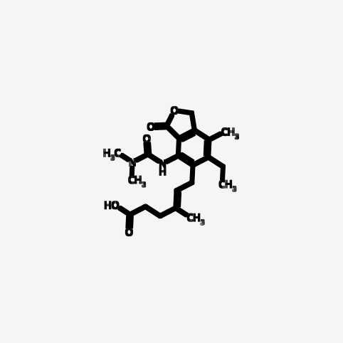 CCc1c(C)c2c(c(NC(=O)N(C)C)c1C/C=C(\C)CCC(=O)O)C(=O)OC2